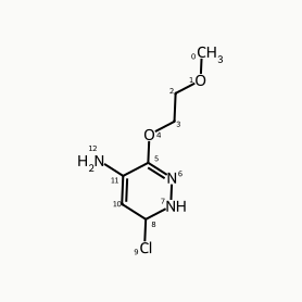 COCCOC1=NNC(Cl)C=C1N